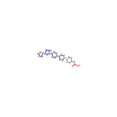 O=C(O)C[C@H]1CC[C@H](c2ccc(-c3ccc(-c4nc(-c5ncco5)n[nH]4)cn3)cc2)CC1